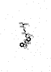 Cc1ccc(NS(=O)(=O)c2ccccc2C(F)(F)F)c(=O)n1CC(=O)NCCONC(=N)N